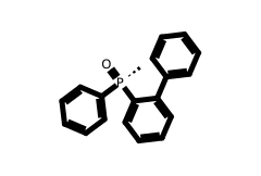 C[P@@](=O)(c1ccccc1)c1ccccc1-c1ccccc1